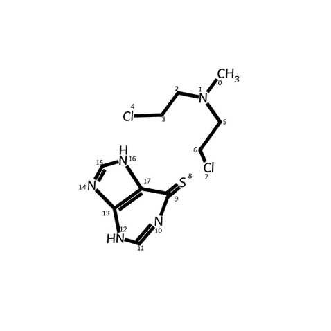 CN(CCCl)CCCl.S=c1nc[nH]c2nc[nH]c12